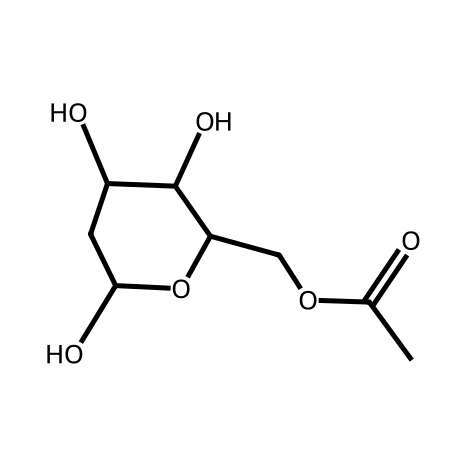 CC(=O)OCC1OC(O)CC(O)C1O